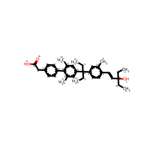 CCC(O)(C=Cc1ccc(C(CC)(CC)c2cc(C)c(-c3ccc(CC(=O)O)cc3)c(C)c2)cc1C)CC